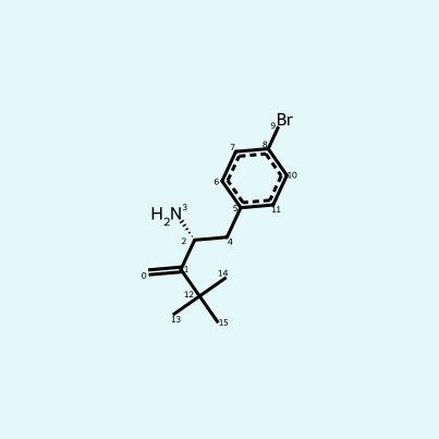 C=C([C@H](N)Cc1ccc(Br)cc1)C(C)(C)C